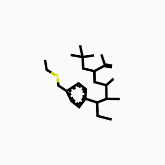 C=C(C)C(CC(C)C(C)C(CC)c1ccc(CSCC)cc1)CC(C)(C)C